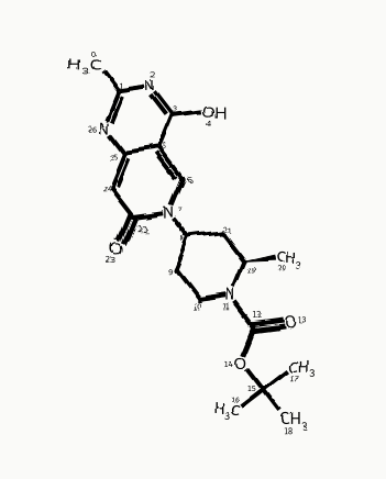 Cc1nc(O)c2cn(C3CCN(C(=O)OC(C)(C)C)[C@H](C)C3)c(=O)cc2n1